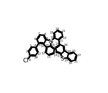 Clc1ccc(-c2cccc3c2c2ccccc2n3-c2ccccc2-c2ccc3sc4ccccc4c3c2)cc1